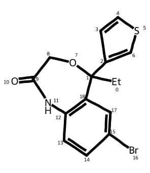 CCC1(c2ccsc2)OCC(=O)Nc2ccc(Br)cc21